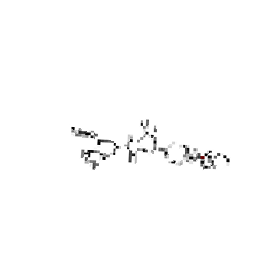 COc1cc(-c2nc3c(C)cc(C4CCN(C5CC6CCC(C5)N6C5CCC5)CC4)cc3[nH]2)cn2ncnc12